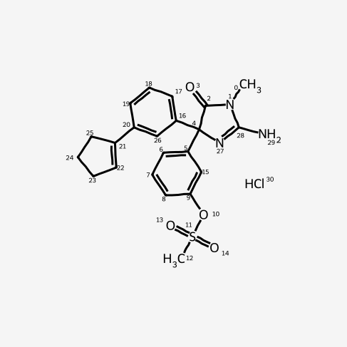 CN1C(=O)C(c2cccc(OS(C)(=O)=O)c2)(c2cccc(C3=CCCC3)c2)N=C1N.Cl